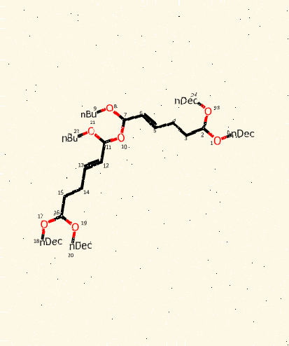 CCCCCCCCCCOC(CCC=CC(OCCCC)OC(C=CCCC(OCCCCCCCCCC)OCCCCCCCCCC)OCCCC)OCCCCCCCCCC